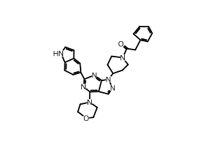 O=C(Cc1ccccc1)N1CCC(n2ncc3c(N4CCOCC4)nc(-c4ccc5[nH]ccc5c4)nc32)CC1